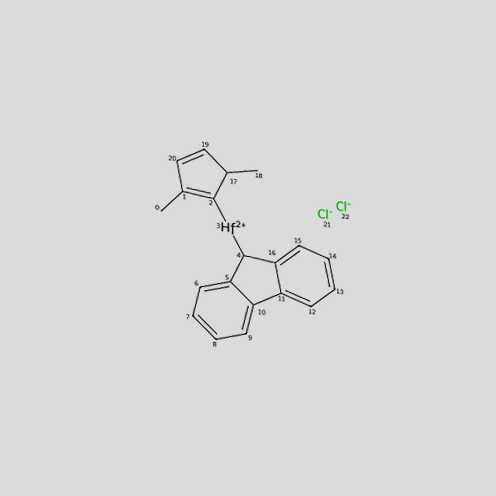 CC1=[C]([Hf+2][CH]2c3ccccc3-c3ccccc32)C(C)C=C1.[Cl-].[Cl-]